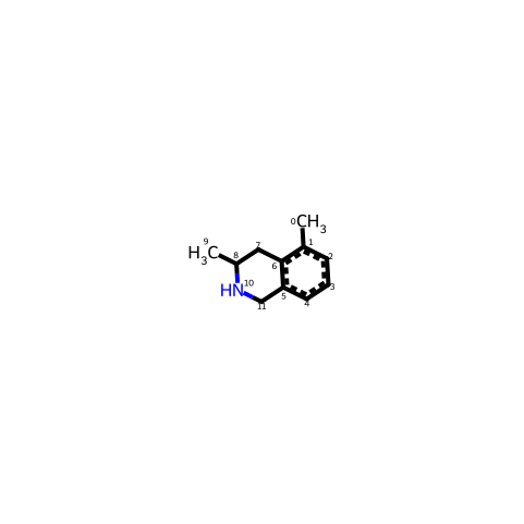 Cc1cccc2c1CC(C)NC2